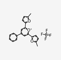 Cc1ccc(-c2cc(-c3ccccc3)cc(-c3ccc(C)o3)[o+]2)o1.F[B-](F)(F)F